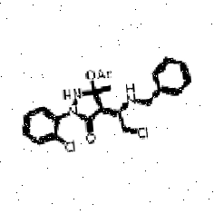 CC(=O)OC1(C)NN(c2ccccc2Cl)C(=O)C1=C(CCl)NCc1ccccc1